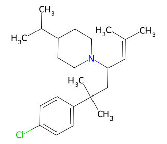 CC(C)=CC(CC(C)(C)c1ccc(Cl)cc1)N1CCC(C(C)C)CC1